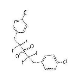 O=S(=O)(C(I)(I)Cc1ccc(Cl)cc1)C(I)(I)Cc1ccc(Cl)cc1